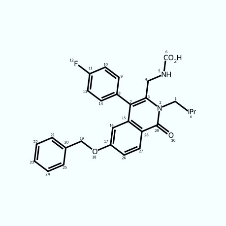 CC(C)Cn1c(CNC(=O)O)c(-c2ccc(F)cc2)c2cc(OCc3ccccc3)ccc2c1=O